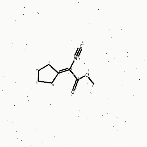 [C-]#[N+]C(C(=O)OC)=C1CCCC1